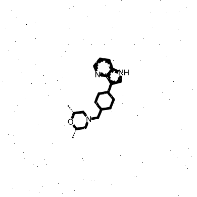 C[C@@H]1CN(CC2CCC(c3c[nH]c4cccnc34)CC2)C[C@H](C)O1